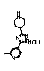 Cc1cc(-c2nc(C3CCNCC3)n[nH]2)ccn1.Cl.Cl